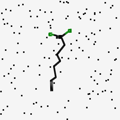 C=CCCCCC[SiH](Cl)Cl